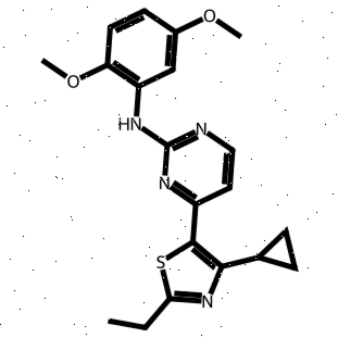 CCc1nc(C2CC2)c(-c2ccnc(Nc3cc(OC)ccc3OC)n2)s1